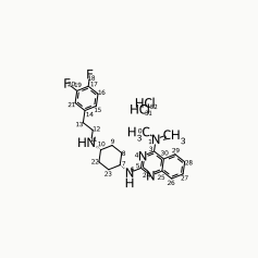 CN(C)c1nc(N[C@H]2CC[C@@H](NCCc3ccc(F)c(F)c3)CC2)nc2ccccc12.Cl.Cl